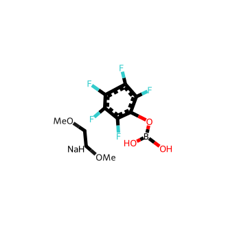 COCCOC.OB(O)Oc1c(F)c(F)c(F)c(F)c1F.[NaH]